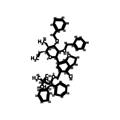 CC[C@H]1OC(c2cc(CO[Si](c3ccccc3)(c3ccccc3)C(C)(C)C)c(Cl)c3c2OCC3)[C@H](OCc2ccccc2)[C@@H](OCc2ccccc2)[C@@H]1C